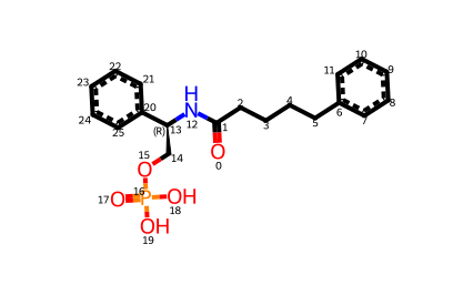 O=C(CCCCc1ccccc1)N[C@@H](COP(=O)(O)O)c1ccccc1